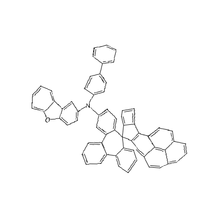 c1ccc(-c2ccc(N(c3ccc4c(c3)-c3ccccc3-c3ccccc3C43c4ccccc4-c4c3cc3ccc5cccc6ccc4c3c56)c3ccc4oc5ccccc5c4c3)cc2)cc1